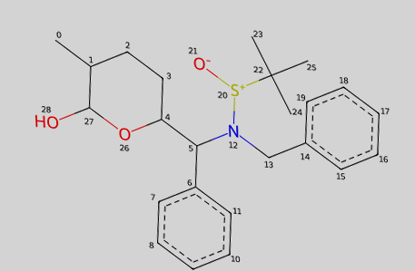 CC1CCC(C(c2ccccc2)N(Cc2ccccc2)[S+]([O-])C(C)(C)C)OC1O